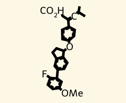 COc1ccc(F)c(-c2ccc3c(c2)CCC3Oc2ccc(C(=C=C(C)C)CC(=O)O)cc2)c1